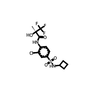 C[C@@](O)(C(=O)Nc1ccc(S(=O)(=O)NC2CCC2)cc1Cl)C(F)(F)F